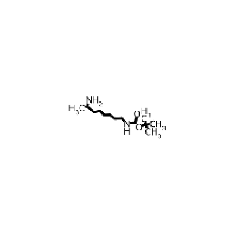 CC(N)CCCCCCNC(=O)OC(C)(C)C